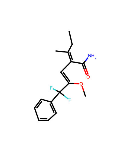 CC/C(C)=C(/C=C(\OC)C(F)(F)c1ccccc1)C(N)=O